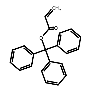 C=CC(=O)OC(c1ccccc1)(c1ccccc1)c1ccccc1